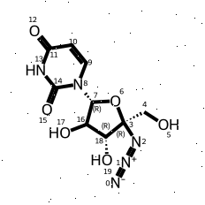 [N-]=[N+]=N[C@]1(CO)O[C@@H](n2ccc(=O)[nH]c2=O)C(O)[C@H]1O